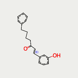 O=C(/C=C/c1cccc(O)c1)CCCCc1ccccc1